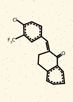 O=C1C(=Cc2ccc(Cl)c(C(F)(F)F)c2)CCc2ccccc21